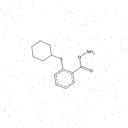 O=C(O[SiH3])c1ccccc1SC1CCCCC1